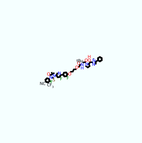 Cn1c(-c2ccccc2)cnc1C(O)C1CCCN1C(=O)C(NC(=O)COCCCCOc1ccc(-c2ncc(N3C(=S)N(c4ccc(C#N)c(C(F)(F)F)c4F)C(=O)C3(C)C)cc2F)cc1F)C(C)(C)C